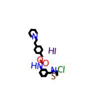 I.O=C(Nc1cccc(-c2nc(Cl)cs2)c1)OCC1CCC(CCN2CCCCC2)CC1